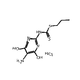 CCCSC(=S)Nc1nc(O)c(N)c(O)n1.Cl